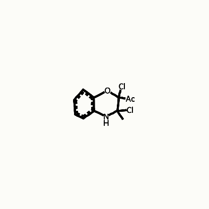 CC(=O)C1(Cl)Oc2ccccc2NC1(C)Cl